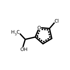 CC(O)c1ccc(Cl)o1